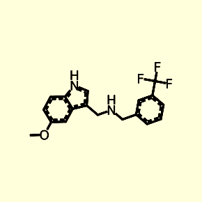 COc1ccc2[nH]cc(CNCc3cccc(C(F)(F)F)c3)c2c1